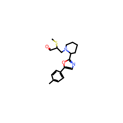 CSC(C=O)CN1CCCCC1c1ncc(-c2ccc(C)cc2)o1